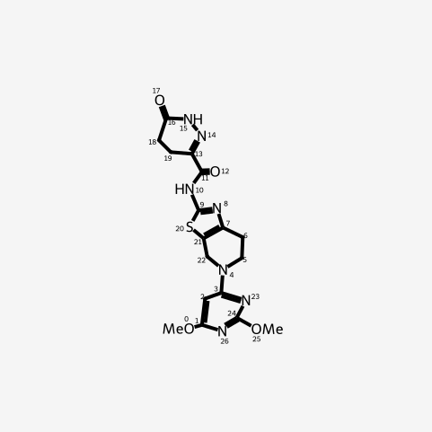 COc1cc(N2CCc3nc(NC(=O)C4=NNC(=O)CC4)sc3C2)nc(OC)n1